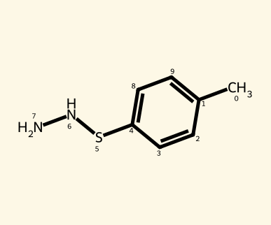 Cc1ccc(SNN)cc1